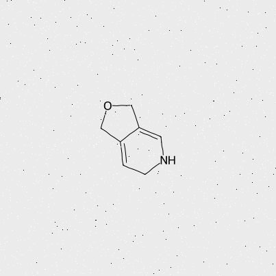 C1=C2COCC2=CNC1